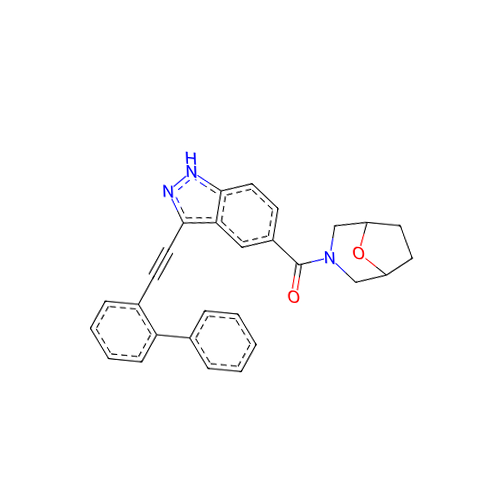 O=C(c1ccc2[nH]nc(C#Cc3ccccc3-c3ccccc3)c2c1)N1CC2CCC(C1)O2